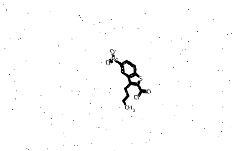 CCCCc1c(C(=O)Cl)sc2ccc([N+](=O)[O-])cc12